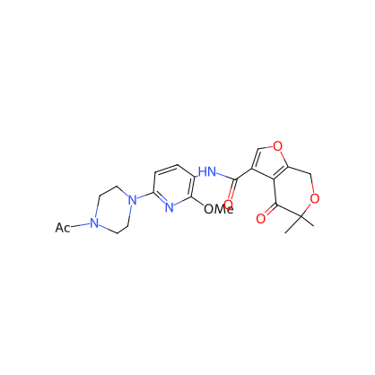 COc1nc(N2CCN(C(C)=O)CC2)ccc1NC(=O)c1coc2c1C(=O)C(C)(C)OC2